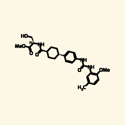 COC(=O)[C@H](CO)NC(=O)[C@H]1CC[C@H](c2ccc(NC(=O)Nc3cc(C)ccc3OC)cc2)CC1